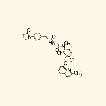 Cc1ccc2cccc(OCc3c(Cl)ccc(N(C)C(=O)CNC(=O)/C=C/c4ccc(N5CCCC5=O)cc4)c3Cl)c2n1